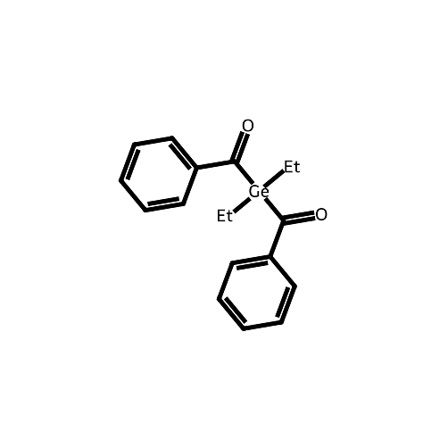 C[CH2][Ge]([CH2]C)([C](=O)c1ccccc1)[C](=O)c1ccccc1